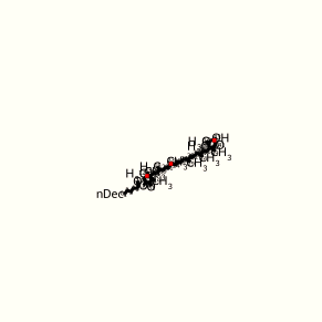 CCCCCCCCCCCCCCCC(=O)OC1CC(C)(C)C(/C=C/C(C)=C/C=C/C(C)=C/C=C/C=C(C)/C=C/C=C(C)/C=C/C2=C(C)C(=O)C(O)CC2(C)C)=C(C)C1=O